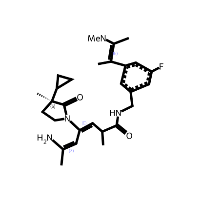 CN/C(C)=C(\C)c1cc(F)cc(CNC(=O)C(C)/C=C(\C=C(\C)N)N2CC[C@@](C)(C3CC3)C2=O)c1